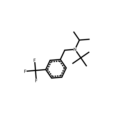 CC(C)N(Cc1cccc(C(F)(F)F)c1)C(C)(C)C